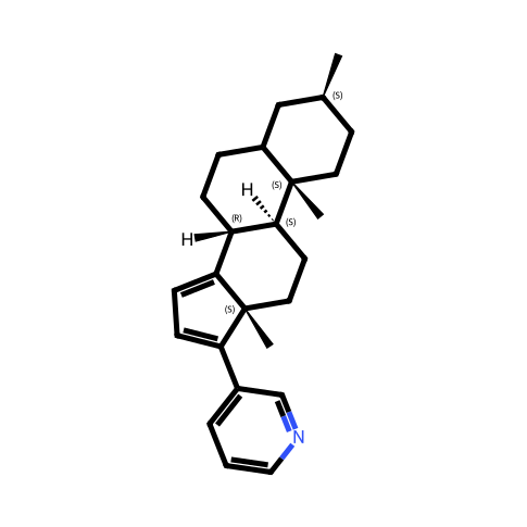 C[C@H]1CC[C@@]2(C)C(CC[C@H]3C4=CC=C(c5cccnc5)[C@@]4(C)CC[C@@H]32)C1